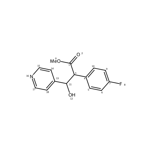 COC(=O)C(c1ccc(F)cc1)C(O)c1ccncc1